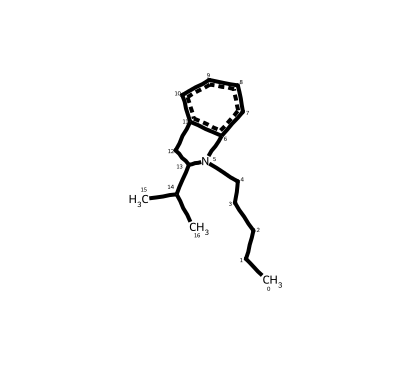 CCCCCN1c2ccccc2CC1C(C)C